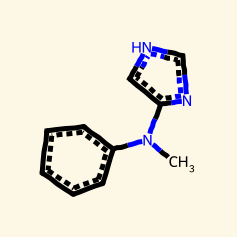 CN(c1ccccc1)c1c[nH]cn1